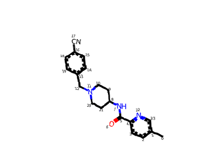 Cc1ccc(C(=O)NC2CCN(Cc3ccc(C#N)cc3)CC2)nc1